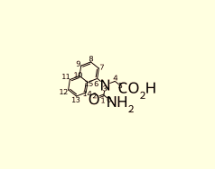 NC(=O)N(CC(=O)O)c1cccc2ccccc12